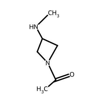 CNC1CN(C(C)=O)C1